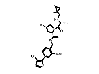 COc1cc(-c2scnc2C)ccc1CNC(=O)[C@@H]1C[C@@H](O)CN1C(=O)[C@@H](NCC1(F)CC1)C(C)(C)C